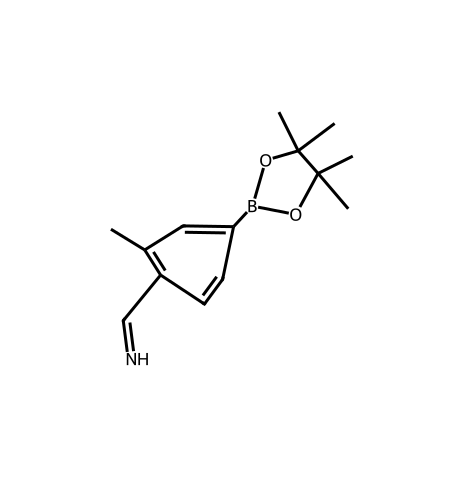 Cc1cc(B2OC(C)(C)C(C)(C)O2)ccc1C=N